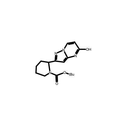 CC(C)(C)OC(=O)N1CCCCC1c1cc2nc(O)ccn2n1